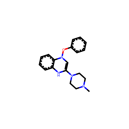 CN1CCN(C2=CN(Oc3ccccc3)c3ccccc3N2)CC1